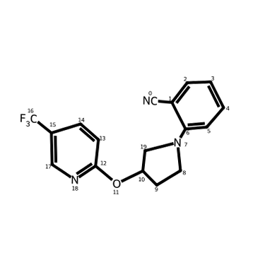 N#Cc1ccccc1N1CCC(Oc2ccc(C(F)(F)F)cn2)C1